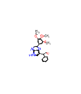 COc1cc(-c2cnc3[nH]cc(C(C=O)c4ccccc4)c3n2)cc(OC)c1OC